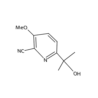 COc1ccc(C(C)(C)O)nc1C#N